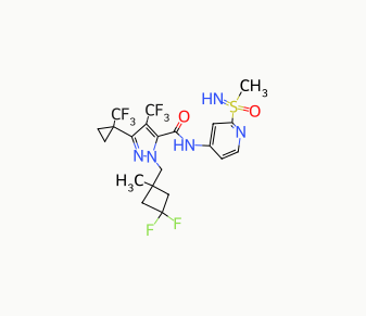 CC1(Cn2nc(C3(C(F)(F)F)CC3)c(C(F)(F)F)c2C(=O)Nc2ccnc(S(C)(=N)=O)c2)CC(F)(F)C1